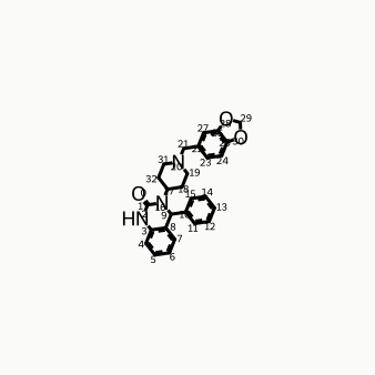 O=C1Nc2ccccc2C(c2ccccc2)N1C1CCN(Cc2ccc3c(c2)OCO3)CC1